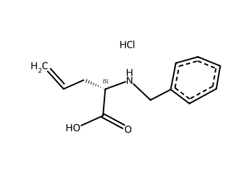 C=CC[C@H](NCc1ccccc1)C(=O)O.Cl